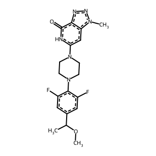 COC(C)c1cc(F)c(N2CCN(c3cc4c(nnn4C)c(=O)[nH]3)CC2)c(F)c1